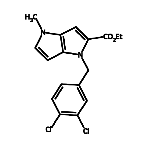 CCOC(=O)c1cc2c(ccn2C)n1Cc1ccc(Cl)c(Cl)c1